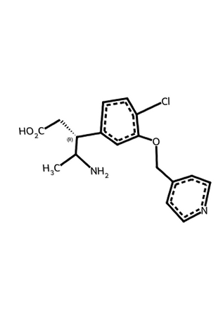 CC(N)[C@H](CC(=O)O)c1ccc(Cl)c(OCc2ccncc2)c1